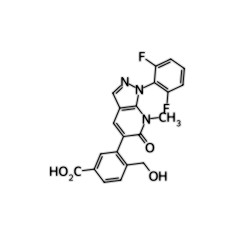 Cn1c(=O)c(-c2cc(C(=O)O)ccc2CO)cc2cnn(-c3c(F)cccc3F)c21